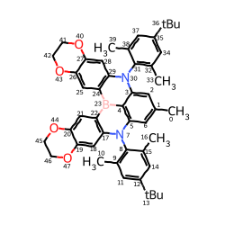 Cc1cc2c3c(c1)N(c1c(C)cc(C(C)(C)C)cc1C)c1cc4c(cc1B3c1cc3c(cc1N2c1c(C)cc(C(C)(C)C)cc1C)OCCO3)OCCO4